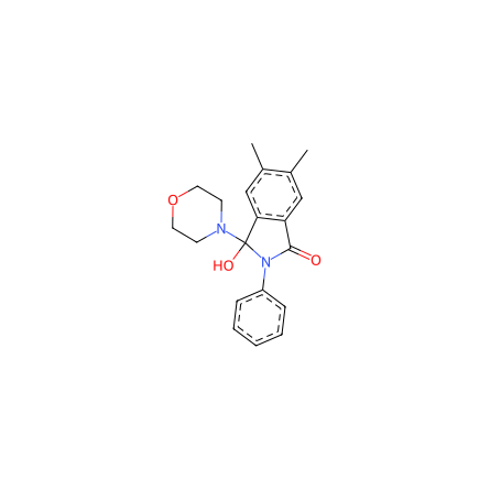 Cc1cc2c(cc1C)C(O)(N1CCOCC1)N(c1ccccc1)C2=O